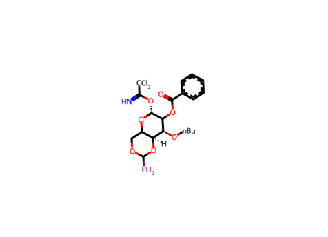 CCCCO[C@@H]1C(OC(=O)c2ccccc2)[C@@H](OC(=N)C(Cl)(Cl)Cl)OC2COC(P)O[C@@H]21